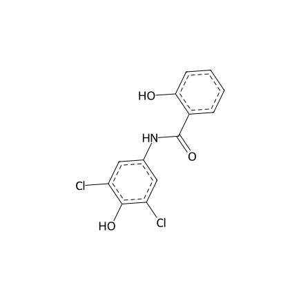 O=C(Nc1cc(Cl)c(O)c(Cl)c1)c1ccccc1O